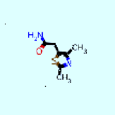 Cc1nc(C)c(CC(N)=O)s1